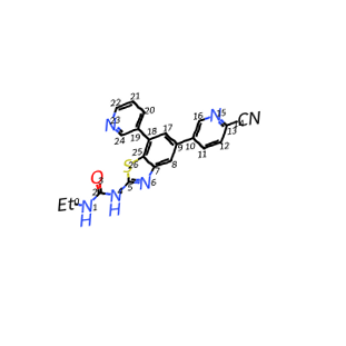 CCNC(=O)Nc1nc2cc(-c3ccc(C#N)nc3)cc(-c3cccnc3)c2s1